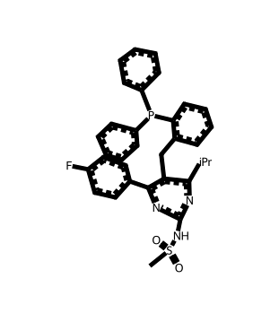 CC(C)c1nc(NS(C)(=O)=O)nc(-c2ccc(F)cc2)c1Cc1ccccc1P(c1ccccc1)c1ccccc1